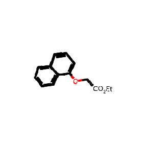 CCOC(=O)COc1cccc2ccccc12